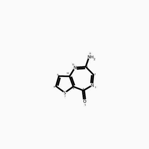 Nc1cnc(=O)c2sccc2n1